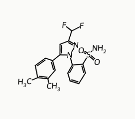 Cc1ccc(-c2cc(C(F)F)nn2-c2ccccc2S(N)(=O)=O)cc1C